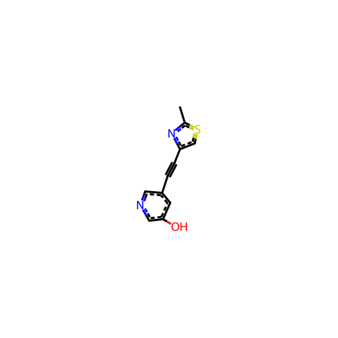 Cc1nc(C#Cc2cncc(O)c2)cs1